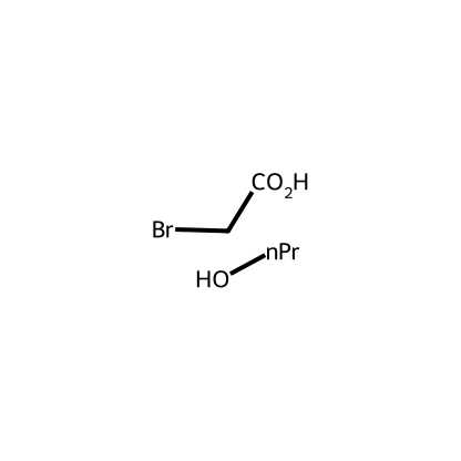 CCCO.O=C(O)CBr